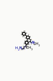 C=N/C=C(\Cc1ccc(-c2ccccc2)cc1)c1cccc(/C(C)=C/C=C\N)c1